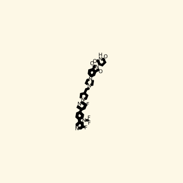 O=C1CCC(N2C(=O)c3ccc(N4CCN(CCC5CCN(c6ncc(-c7ccc8c9cncc(F)c9n(C(F)F)c8c7)cc6F)CC5)CC4)cc3C2=O)C(=O)N1